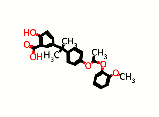 COc1ccccc1OC(C)Oc1ccc(C(C)(C)c2ccc(O)c(C(=O)O)c2)cc1